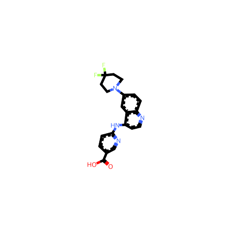 O=C(O)c1ccc(Nc2ccnc3ccc(N4CCC(F)(F)CC4)cc23)nc1